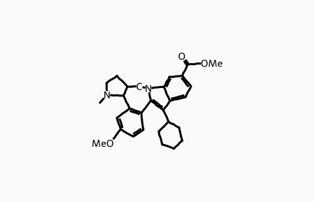 COC(=O)c1ccc2c(C3CCCCC3)c3n(c2c1)CC1CCN(C)C1c1cc(OC)ccc1-3